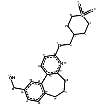 O=S1(=O)CCC(COc2ccc3c(n2)CCCc2ccc(CO)cc2-3)CC1